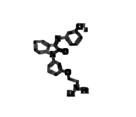 CCN(CC)CCOc1cccc(N2C(=O)C(=Nc3cccc(C(F)(F)F)c3)c3ccccc32)c1